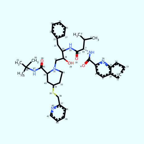 CC(C)[C@H](NC(=O)c1ccc2ccccc2n1)C(=O)NC(Cc1ccccc1)C(O)CN1CCC(SCc2ccccn2)CC1C(=O)NC(C)(C)C